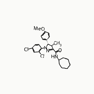 COc1ccc([C@@H]2[C@@H](C)C(C(=O)NC3CCCCCC3)=NN2c2ccc(Cl)cc2Cl)cc1